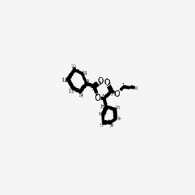 CCOC(=O)C(OC(=O)C1CCCCC1)c1ccccc1